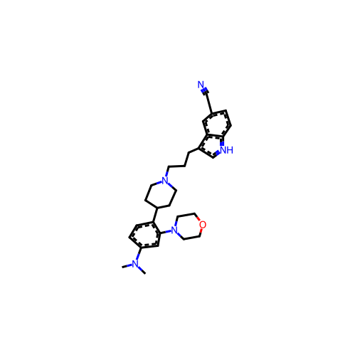 CN(C)c1ccc(C2CCN(CCCc3c[nH]c4ccc(C#N)cc34)CC2)c(N2CCOCC2)c1